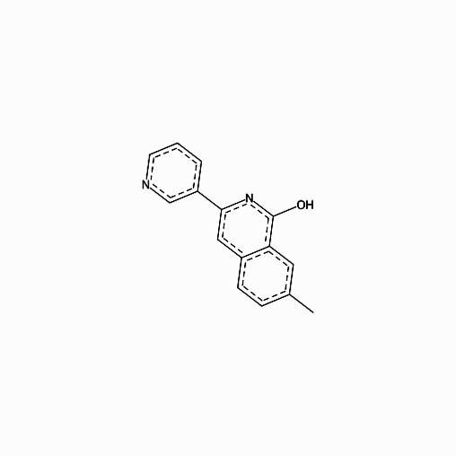 Cc1ccc2cc(-c3cccnc3)nc(O)c2c1